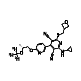 [2H]C([2H])([2H])O[C@H](C)COc1ccc(-c2c(C#N)c(NC3CC3)nc(SCC3COC3)c2C#N)cn1